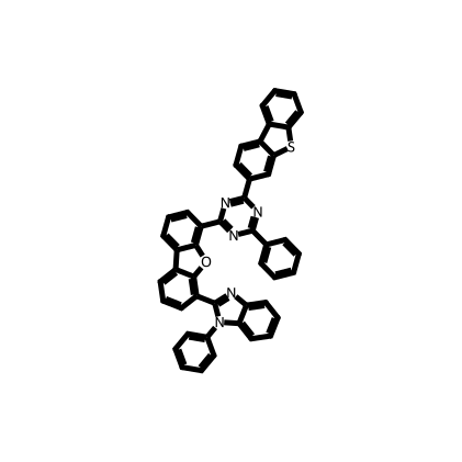 c1ccc(-c2nc(-c3ccc4c(c3)sc3ccccc34)nc(-c3cccc4c3oc3c(-c5nc6ccccc6n5-c5ccccc5)cccc34)n2)cc1